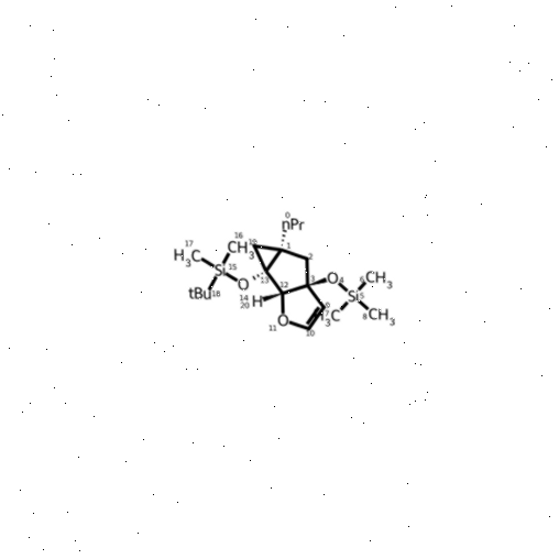 CCC[C@]12C[C@]3(O[Si](C)(C)C)C=CO[C@@H]3[C@@]1(O[Si](C)(C)C(C)(C)C)C2